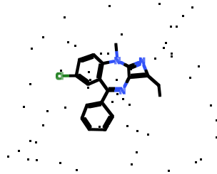 CCc1nc2n(C)c3ccc(Cl)cc3c(-c3ccccc3)nc1-2